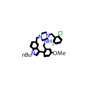 CCCCn1cc(-c2ccc(OC)cc2CN)c2cc(CN3CCN(Cc4ccccc4Cl)CC3)ccc21